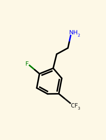 NCCc1cc(C(F)(F)F)ccc1F